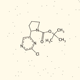 CC(C)(C)OC(=O)N1CCCC1c1cncc(Cl)n1